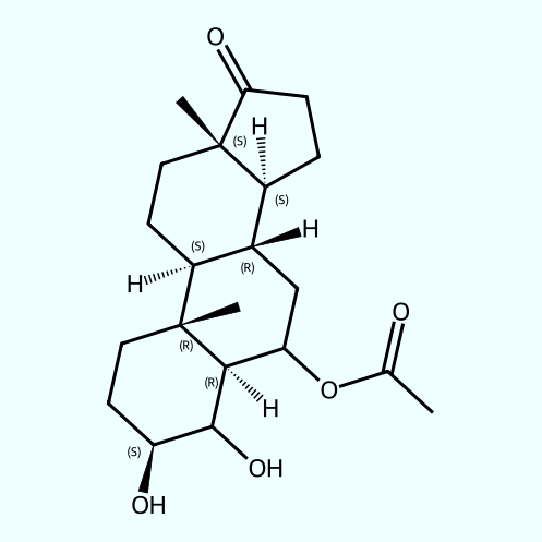 CC(=O)OC1C[C@@H]2[C@H](CC[C@]3(C)C(=O)CC[C@@H]23)[C@@]2(C)CC[C@H](O)C(O)[C@H]12